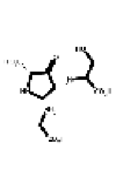 NC(CO)C(=O)O.NCC(=O)O.O=C(O)[C@H]1NCCC1=O